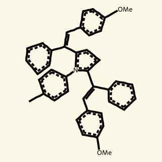 COc1ccc(C=C(c2ccccc2)c2ccc(C(=Cc3ccc(OC)cc3)c3ccccc3)n2-c2ccc(C)cc2)cc1